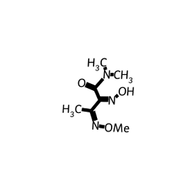 CON=C(C)C(=NO)C(=O)N(C)C